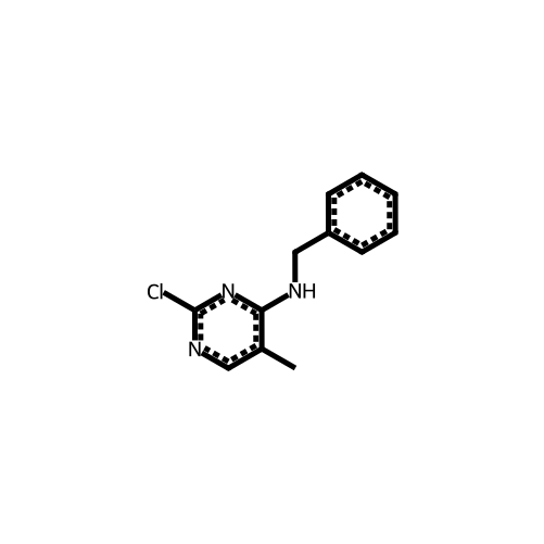 Cc1cnc(Cl)nc1NCc1ccccc1